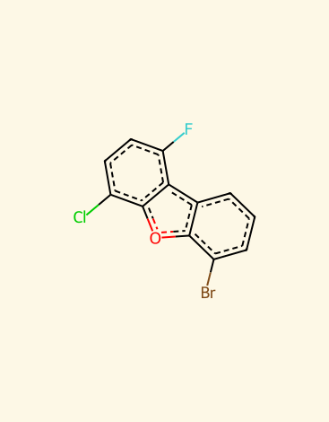 Fc1ccc(Cl)c2oc3c(Br)cccc3c12